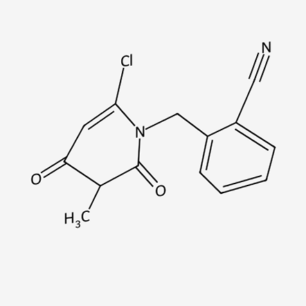 CC1C(=O)C=C(Cl)N(Cc2ccccc2C#N)C1=O